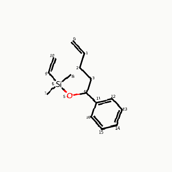 C=CCCC(O[Si](C)(C)C=C)c1ccccc1